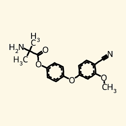 COc1cc(Oc2ccc(OC(=O)C(C)(C)N)cc2)ccc1C#N